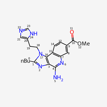 CCCCc1nc2c(N)nc3cc(C(=O)OC)ccc3c2n1CCc1cnc[nH]1